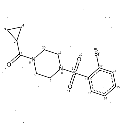 O=C(C1CC1)N1CCN(S(=O)(=O)c2ccccc2Br)CC1